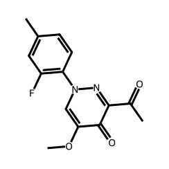 COc1cn(-c2ccc(C)cc2F)nc(C(C)=O)c1=O